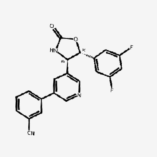 N#Cc1cccc(-c2cncc([C@H]3NC(=O)O[C@@H]3c3cc(F)cc(F)c3)c2)c1